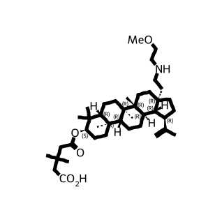 C=C(C)[C@@H]1CC[C@]2(CCNCCOC)CC[C@]3(C)[C@H](CC[C@@H]4[C@@]5(C)CC[C@H](OC(=O)CC(C)(C)CC(=O)O)C(C)(C)[C@@H]5CC[C@]43C)[C@@H]12